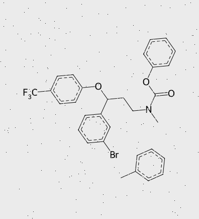 CN(CCC(Oc1ccc(C(F)(F)F)cc1)c1cccc(Br)c1)C(=O)Oc1ccccc1.Cc1ccccc1